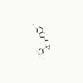 COc1ccc2[nH]c(C(=O)NC3(c4cnn(C)c4)CC3)cc2c1